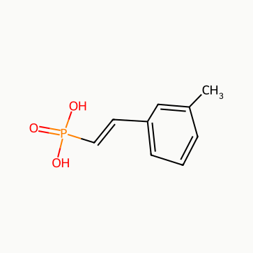 Cc1cccc(/C=C/P(=O)(O)O)c1